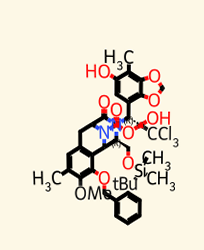 COc1c(C)cc2c(c1OCc1ccccc1)C1[C@H](CO[Si](C)(C)C(C)(C)C)N([C@@H](CO)c3cc(O)c(C)c4c3OCO4)C(=O)C(C2)N1C(=O)OCC(Cl)(Cl)Cl